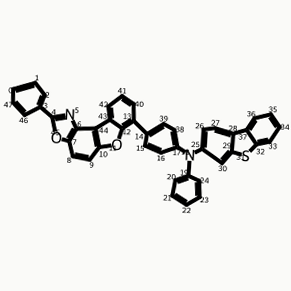 c1ccc(-c2nc3c(ccc4oc5c(-c6ccc(N(c7ccccc7)c7ccc8c(c7)sc7ccccc78)cc6)cccc5c43)o2)cc1